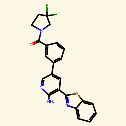 Nc1ncc(-c2cccc(C(=O)N3CCC(F)(F)C3)c2)cc1-c1nc2ccccc2s1